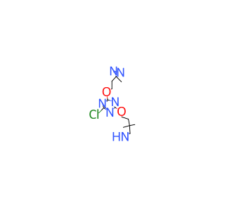 CC(C)(C=N)CCOc1nc(Cl)nc(OCCC2(C)N=N2)n1